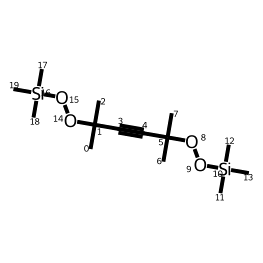 CC(C)(C#CC(C)(C)OO[Si](C)(C)C)OO[Si](C)(C)C